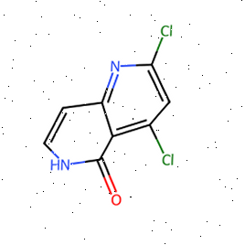 O=c1[nH]ccc2nc(Cl)cc(Cl)c12